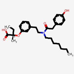 CCCCCCCN(CCc1cccc(O[C@@](C)(CC)C(=O)O)c1)C(=O)Cc1ccc(O)cc1